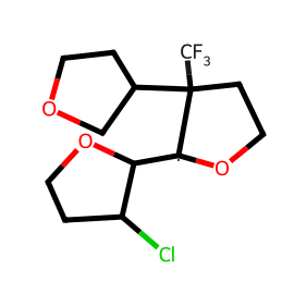 FC(F)(F)C1(C2CCOC2)CCO[C]1C1OCCC1Cl